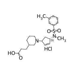 Cc1cccc(S(=O)(=O)N(C)[C@@H]2C=CC(N3CCCC(CCC(=O)O)C3)C2)c1.Cl